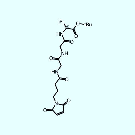 CC(C)[C@H](NC(=O)CNC(=O)CNC(=O)CCCN1C(=O)C=CC1=O)C(=O)OC(C)(C)C